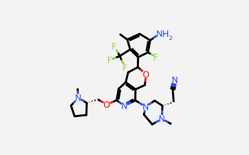 Cc1cc(N)c(F)c(C2Cc3cc(OC[C@@H]4CCCN4C)nc(N4CCN(C)[C@@H](CC#N)C4)c3CO2)c1C(F)(F)F